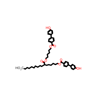 O=C(O)CCCCCCCCCC(CCCCCCOC(=O)c1ccc(-c2ccc(O)cc2)cc1)C(=O)OCCCCCCOC(=O)c1ccc(-c2ccc(O)cc2)cc1